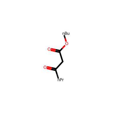 CCCCOC(=O)CC(=O)CCC